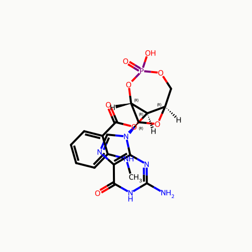 CNc1ccccc1C(=O)O[C@H]1[C@H]2OP(=O)(O)OC[C@H]1O[C@H]2n1cnc2c(=O)[nH]c(N)nc21